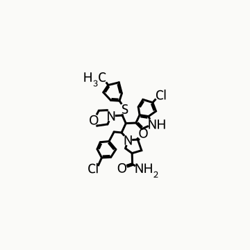 Cc1ccc(SC(C(c2c[nH]c3cc(Cl)ccc23)C(Cc2ccc(Cl)cc2)N2CC(C(N)=O)CC2=O)N2CCOCC2)cc1